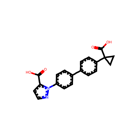 O=C(O)c1ccnn1-c1ccc(-c2ccc(C3(C(=O)O)CC3)cc2)cc1